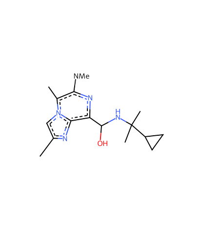 CNc1nc(C(O)NC(C)(C)C2CC2)c2nc(C)cn2c1C